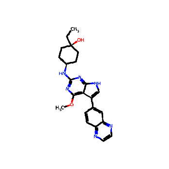 CC[C@]1(O)CC[C@@H](Nc2nc(OC)c3c(-c4ccc5nccnc5c4)c[nH]c3n2)CC1